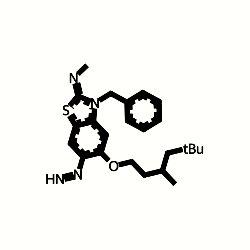 C/N=c1/sc2cc(N=N)c(OCCC(C)CC(C)(C)C)cc2n1Cc1ccccc1